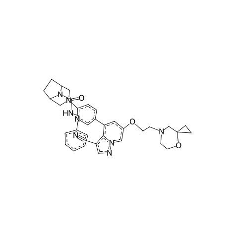 N#Cc1cnn2cc(OCCN3CCOC4(CC4)C3)cc(-c3ccc(N4CC5CCC(C4)N5C(=O)NCc4ccccc4)nc3)c12